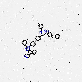 C1=C(c2ccc(-c3ccc(-n4c(-c5ccccc5)nc5c6cnccc6c6ccccc6c54)cc3)cc2)N=C(c2ccccc2)NC1c1ccc(-c2ccccc2)cc1